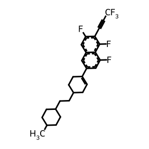 CC1CCC(CCC2CC=C(c3cc(F)c4c(F)c(C#CC(F)(F)F)c(F)cc4c3)CC2)CC1